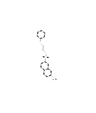 O=S(=O)(Cl)c1ccc2ccc(S(=O)(=O)NCCSc3ccccc3)cc2c1